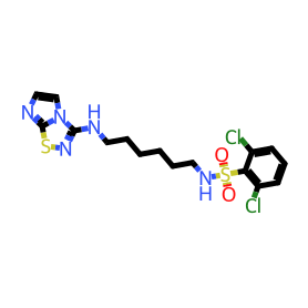 O=S(=O)(NCCCCCCNc1nsc2nccn12)c1c(Cl)cccc1Cl